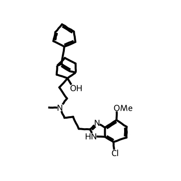 COc1ccc(Cl)c2[nH]c(CCCN(C)CCC3(O)CC4CCC3C=C4c3ccccc3)nc12